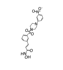 O=C(C=Cc1cccc(S(=O)(=O)N2CCN(c3cccc([N+](=O)[O-])c3)CC2)c1)NO